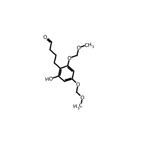 COCOc1cc(O)c(CCCC=O)c(OCOC)c1